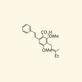 CCC(C)=CCc1c(OC)cc(C=Cc2ccccc2)c(C(=O)O)c1OC